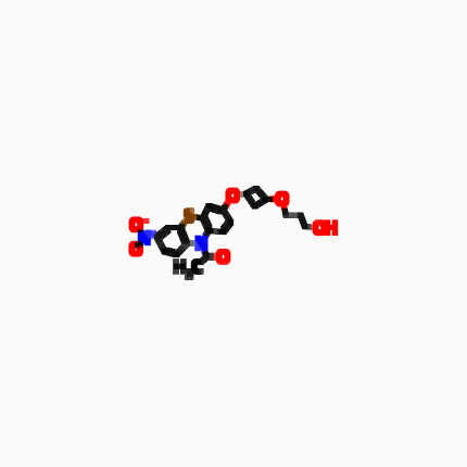 CC(=O)N1c2ccc(O[C@H]3C[C@H](OCCCO)C3)cc2Sc2cc([N+](=O)[O-])ccc21